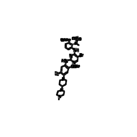 CCc1cc(Nc2ncc(Br)c(Nc3cccc(OC)c3N(C)[SH](=O)=O)n2)c(OC)cc1N1CCC(N2CCN(C)CC2)CC1